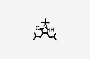 CC(C)Cc1[nH]n(C(C)(C)C)c(=O)c1CC(C)C